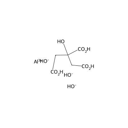 O=C(O)CC(O)(CC(=O)O)C(=O)O.[Al+3].[OH-].[OH-].[OH-]